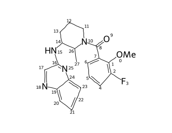 COc1c(F)cccc1C(=O)N1CCCC(Nc2cnc3ccccc3n2)C1C